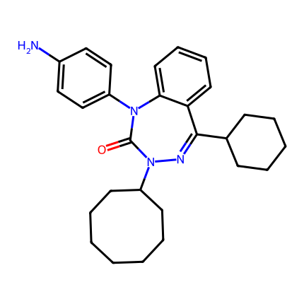 Nc1ccc(N2C(=O)N(C3CCCCCCC3)N=C(C3CCCCC3)c3ccccc32)cc1